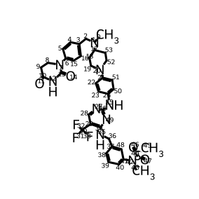 CN(Cc1ccc(N2CCC(=O)NC2=O)cc1)C1CCN(c2ccc(Nc3ncc(C(F)(F)F)c(NCc4cccc(N(C)S(C)(=O)=O)c4)n3)cc2)CC1